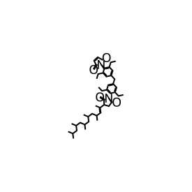 CCc1cc(Cc2cc(CC)c(N3C(=O)CC(/C(C)=C/C(C)CC(C)CC(C)CC(C)CC(C)C)C3=O)c(CC)c2)cc(CC)c1N1C(=O)C=CC1=O